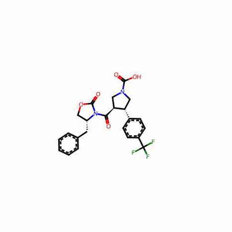 O=C(O)N1C[C@H](C(=O)N2C(=O)OC[C@H]2Cc2ccccc2)[C@@H](c2ccc(C(F)(F)F)cc2)C1